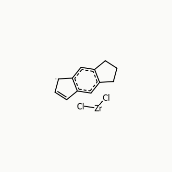 [CH]1C=Cc2cc3c(cc21)CCC3.[Cl][Zr][Cl]